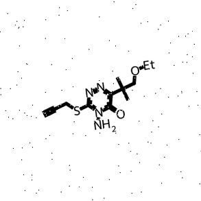 C#CCSc1nnc(C(C)(C)COCC)c(=O)n1N